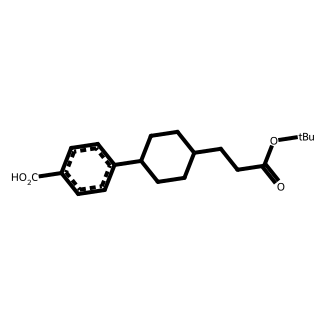 CC(C)(C)OC(=O)CCC1CCC(c2ccc(C(=O)O)cc2)CC1